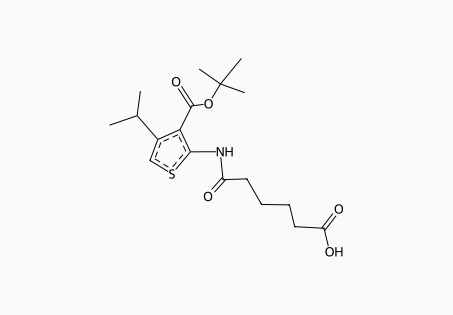 CC(C)c1csc(NC(=O)CCCCC(=O)O)c1C(=O)OC(C)(C)C